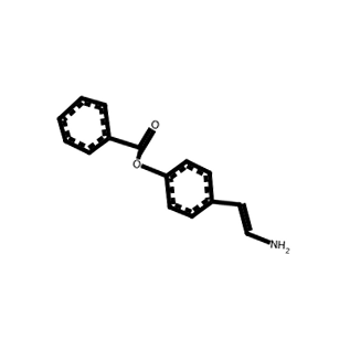 NC=Cc1ccc(OC(=O)c2ccccc2)cc1